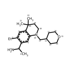 CCc1cc2c(cc1C(C)N)N(CC1CCOCC1)CCC2(C)C